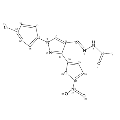 CC(=O)NN=Cc1cn(-c2ccc(Cl)cc2)nc1-c1ccc([N+](=O)[O-])o1